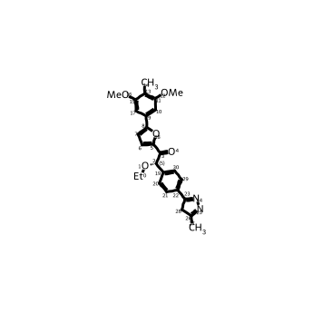 CCO[C@H](C(=O)c1ccc(-c2cc(OC)c(C)c(OC)c2)o1)c1ccc(C2=NN=C(C)C2)cc1